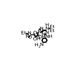 CCc1noc([C@H]2O[C@@H](n3cnc4c(NC(CC)CC)nc(N[C@H]5CC[C@H](N)CC5)nc43)[C@H](O)[C@@H]2O)n1